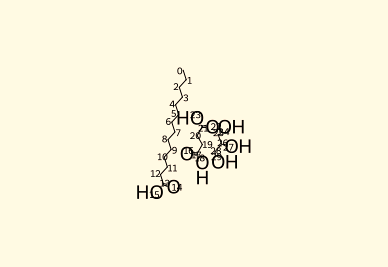 CCCCCCCCCCCCCC(=O)O.O=C(O)CCC(=O)O.OCC(O)CO